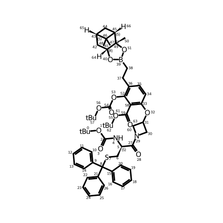 CC(C)(C)OC(=O)N[C@H](CSC(c1ccccc1)(c1ccccc1)c1ccccc1)C(=O)N1CC(Oc2ccc(CCB3O[C@@H]4C[C@@H]5C[C@@H](C5(C)C)[C@]4(C)O3)c(OC(=O)OC(C)(C)C)c2C(=O)OC(C)(C)C)C1